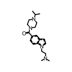 CC(C)N1CCN(C(=O)c2ccc3c(ccn3CCN(C)C)c2)CC1